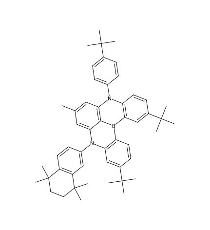 Cc1cc2c3c(c1)N(c1ccc4c(c1)C(C)(C)CCC4(C)C)c1cc(C(C)(C)C)ccc1B3c1cc(C(C)(C)C)ccc1N2c1ccc(C(C)(C)C)cc1